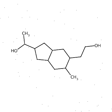 CC(O)C1CC2CC(C)C(CCO)CC2C1